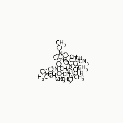 Cc1ccc(N2c3ccccc3C(c3ccc(N(c4ccc5c(c4)C(C)(C)c4ccccc4-5)c4c(C)c(C)c(C)c(C)c4C)cc3)(c3ccc(N(c4ccc5c(c4)C(C)(C)c4ccccc4-5)c4c(C)c(C)c(C)c(C)c4C)cc3)c3cc(C)ccc32)cc1